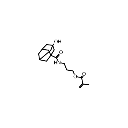 C=C(C)C(=O)OCCCNC(=O)C12CC3CC(CC(O)(C3)C1)C2